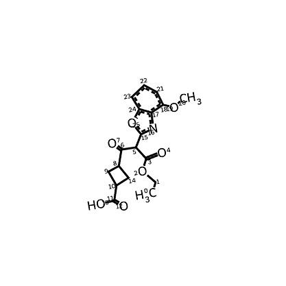 CCOC(=O)C(C(=O)C1CC(C(=O)O)C1)c1nc2c(OC)cccc2o1